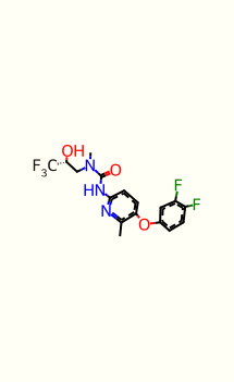 Cc1nc(NC(=O)N(C)C[C@@H](O)C(F)(F)F)ccc1Oc1ccc(F)c(F)c1